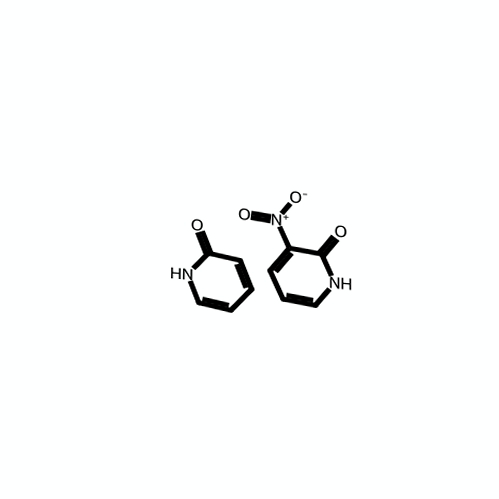 O=c1[nH]cccc1[N+](=O)[O-].O=c1cccc[nH]1